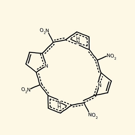 O=[N+]([O-])c1c2nc(c([N+](=O)[O-])c3ccc([nH]3)c([N+](=O)[O-])c3nc(c([N+](=O)[O-])c4ccc1[nH]4)C=C3)C=C2